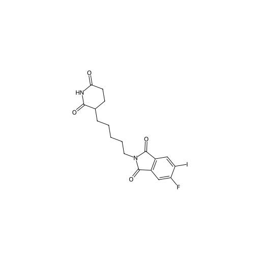 O=C1CCC(CCCCCN2C(=O)c3cc(F)c(I)cc3C2=O)C(=O)N1